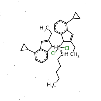 CCCCC[SiH]=[Hf]([Cl])([Cl])([CH]1C(CC)=Cc2c(C3CC3)cccc21)[CH]1C(CC)=Cc2c(C3CC3)cccc21